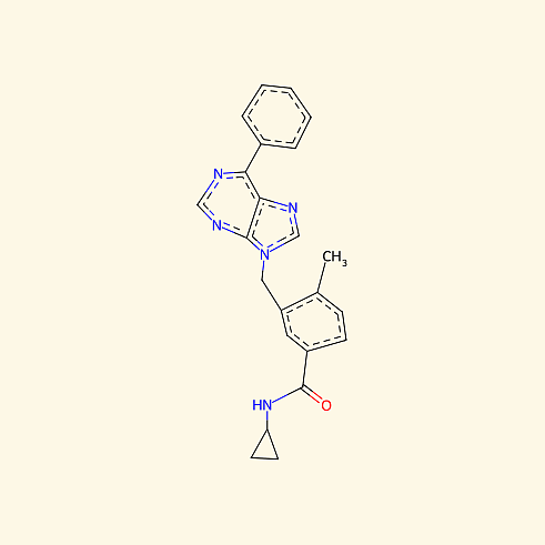 Cc1ccc(C(=O)NC2CC2)cc1Cn1cnc2c(-c3ccccc3)ncnc21